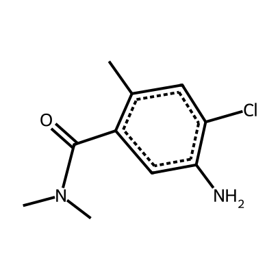 Cc1cc(Cl)c(N)cc1C(=O)N(C)C